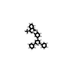 CC(C)(C)c1cn2c3cc(-c4cc(-c5ccccc5)nc(-c5ccccc5)c4)ccc3nc2c2ccccc12